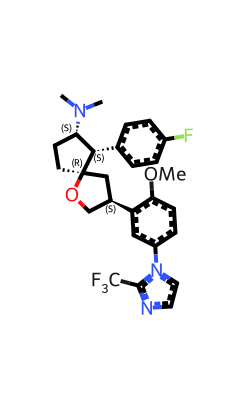 COc1ccc(-n2ccnc2C(F)(F)F)cc1[C@H]1CO[C@]2(CC[C@H](N(C)C)[C@@H]2c2ccc(F)cc2)C1